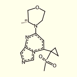 C[C@@H]1COCCN1c1cc(C2(S(C)(=O)=O)CC2)n2cncc2n1